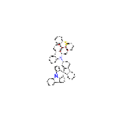 c1ccc(-c2cccc(-c3ccccc3N(c3ccc4c(c3)C3(c5ccccc5-4)c4ccccc4-n4c5ccccc5c5cccc3c54)c3ccc4sc5ccccc5c4c3)c2)cc1